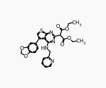 CCOC(=O)C(C(=O)OCC)c1nc(NCc2ccccn2)c2c(-c3ccc4c(c3)OCO4)csc2n1